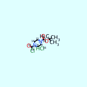 CC(C)(C)OC(=O)N1CCN(C(=O)Cl)CC1.Cl